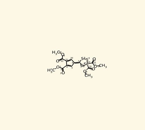 COC(=O)C1=CC(=C2SS[Se](C(=O)OC)(C(=O)OC)[Se]2)C=C1C(=O)OC